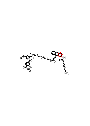 CN(CCOCCOCCOCCN(C)C(=O)[C@@H]1C[C@H](N=[N+]=[N-])CN1C(=O)c1ccc2c(=O)oc(=O)n(C)c2c1)C(=O)CCC12c3cc(NC(=O)CCCCCCCN)ccc3C(C3C=CC=CC31)C1C=CC=CC12